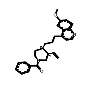 C=C[C@H]1CN(C(=O)c2ccccc2)CC[C@H]1CCCc1ccnc2ccc(OC)cc12